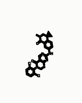 CN1CC2(CC2)c2ccc(Nc3ncc4c(n3)SCN(c3c(Cl)cccc3Cl)C4=O)cc2C1=O